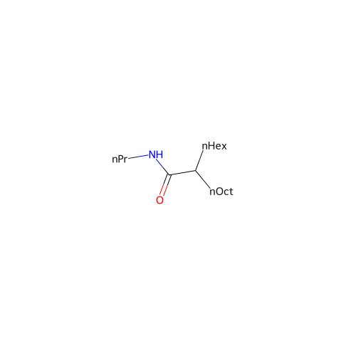 CCCCCCCCC(CCCCCC)C(=O)NCCC